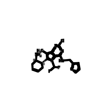 Cc1c([C@@H]2CC=CC[C@H]2N)n(C(F)F)c2c(NCc3ccco3)nc(Cl)nc12